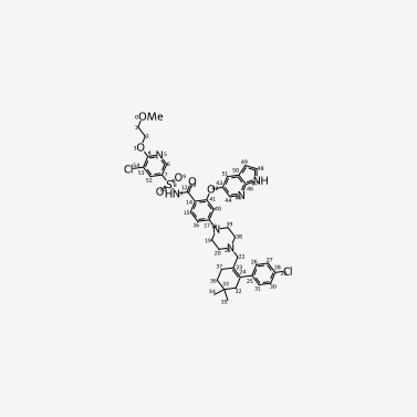 COCCOc1ncc(S(=O)(=O)NC(=O)c2ccc(N3CCN(CC4=C(c5ccc(Cl)cc5)CC(C)(C)CC4)CC3)cc2Oc2cnc3[nH]ccc3c2)cc1Cl